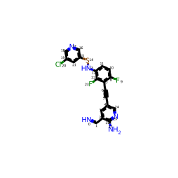 N=Cc1cc(C#Cc2c(F)ccc(NSc3cncc(Cl)c3)c2F)cnc1N